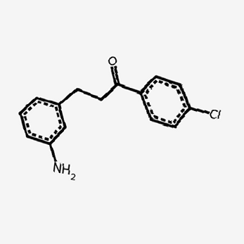 Nc1cccc(CCC(=O)c2ccc(Cl)cc2)c1